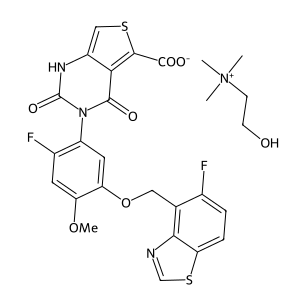 COc1cc(F)c(-n2c(=O)[nH]c3csc(C(=O)[O-])c3c2=O)cc1OCc1c(F)ccc2scnc12.C[N+](C)(C)CCO